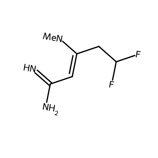 CN/C(=C\C(=N)N)CC(F)F